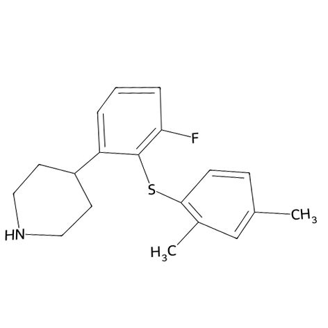 Cc1ccc(Sc2c(F)cccc2C2CCNCC2)c(C)c1